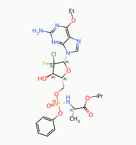 CCOc1nc(N)nc2c1ncn2[C@@H]1O[C@H](CO[P@@](=O)(N[C@@H](C)C(=O)OC(C)C)Oc2ccccc2)[C@@H](O)[C@]1(F)Cl